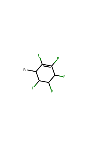 CCC(C)C1C(F)=C(F)C(F)C(F)C1F